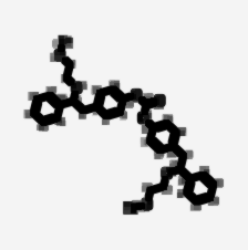 CCOCCOC(Cc1ccc(OC(=O)Oc2ccc(CC(OCCOCC)c3ccccc3)cc2)cc1)c1ccccc1